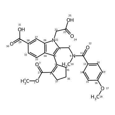 COC(=O)C1=C(c2c(CN(C)C(=O)c3ccc(OC)cc3)n(CC(=O)O)c3cc(C(=O)O)ccc23)CCC1